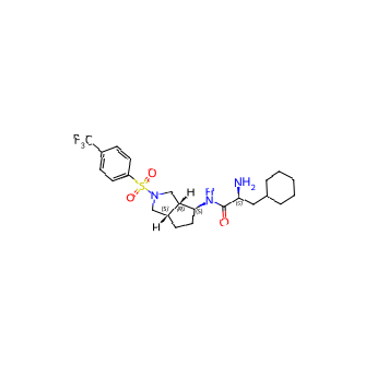 N[C@@H](CC1CCCCC1)C(=O)N[C@H]1CC[C@@H]2CN(S(=O)(=O)c3ccc(C(F)(F)F)cc3)C[C@@H]21